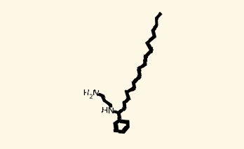 CCCCCCCCCCCCCCCCCC(NCCCN)c1ccccc1